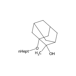 CCCCCCCOC12CC3CC(CC(C3)C1(C)O)C2